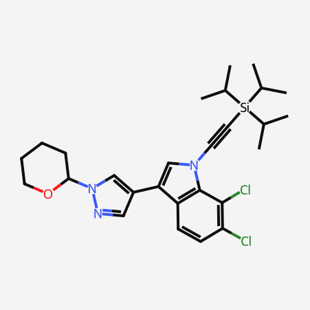 CC(C)[Si](C#Cn1cc(-c2cnn(C3CCCCO3)c2)c2ccc(Cl)c(Cl)c21)(C(C)C)C(C)C